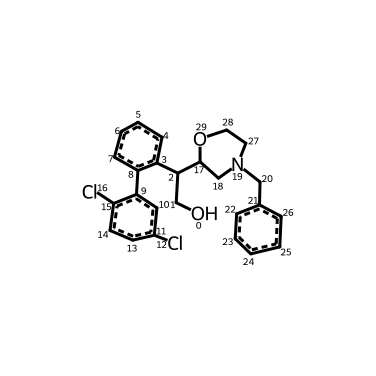 OCC(c1ccccc1-c1cc(Cl)ccc1Cl)C1CN(Cc2ccccc2)CCO1